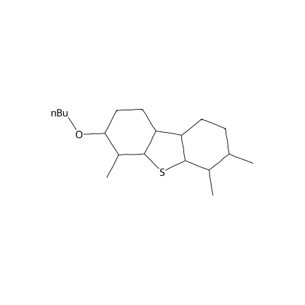 CCCCOC1CCC2C3CCC(C)C(C)C3SC2C1C